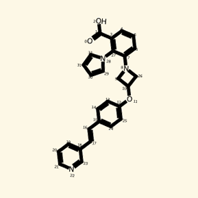 O=C(O)c1cccc(N2CC(Oc3ccc(/C=C/c4cccnc4)cc3)C2)c1-n1cccc1